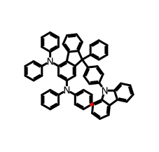 c1ccc(N(c2ccccc2)c2cc(N(c3ccccc3)c3ccccc3)c3c(c2)C(c2ccccc2)(c2ccc(-n4c5ccccc5c5ccccc54)cc2)c2ccccc2-3)cc1